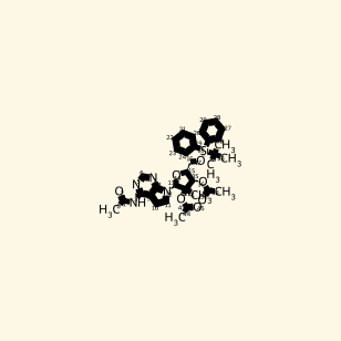 CC(=O)Nc1ncnc2c1ccn2[C@@H]1O[C@H](CO[Si](c2ccccc2)(c2ccccc2)C(C)(C)C)[C@H](OC(C)=O)C1(C)OC(C)=O